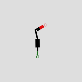 O=CC#CCl